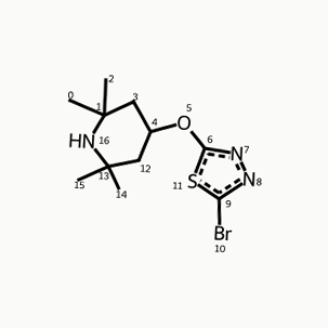 CC1(C)CC(Oc2nnc(Br)s2)CC(C)(C)N1